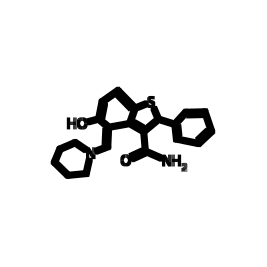 NC(=O)C1=c2c(ccc(O)c2=CN2CCCCC2)SC1c1ccccc1